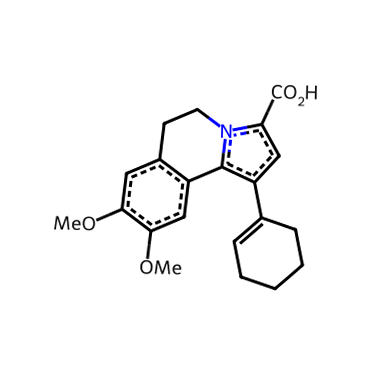 COc1cc2c(cc1OC)-c1c(C3=CCCCC3)cc(C(=O)O)n1CC2